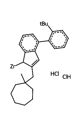 CC1(CC2=Cc3c(-c4ccccc4C(C)(C)C)cccc3[CH]2[Zr])CCCCCC1.Cl.Cl